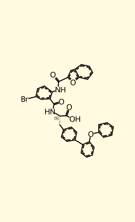 O=C(Nc1ccc(Br)cc1C(=O)N[C@@H](Cc1ccc(-c2ccccc2Oc2ccccc2)cc1)C(=O)O)c1cc2ccccc2o1